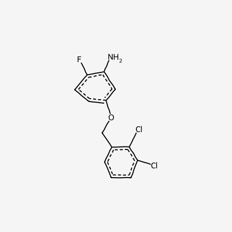 Nc1cc(OCc2cccc(Cl)c2Cl)ccc1F